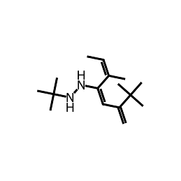 C=C(/C=C(NNC(C)(C)C)\C(C)=C/C)C(C)(C)C